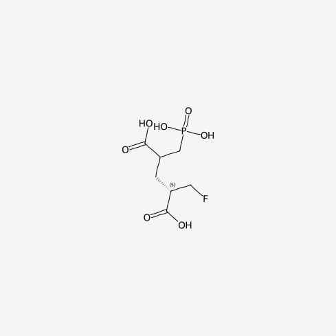 O=C(O)C(C[C@H](CF)C(=O)O)CP(=O)(O)O